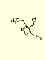 CCn1nnc(C)c1CCl